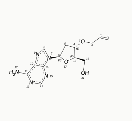 C=CCO[C@H]1C[C@H](n2cnc3c(N)ncnc32)O[C@@H]1CO